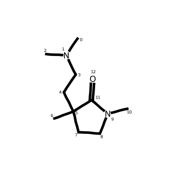 CN(C)CCC1(C)CCN(C)C1=O